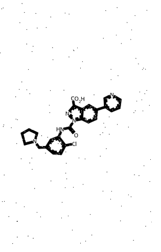 O=C(O)c1nn(C(=O)Nc2cc(CN3CCCC3)ccc2Cl)c2ccc(-c3cccnc3)cc12